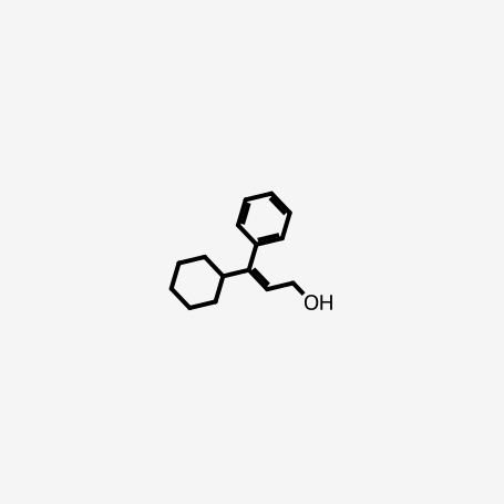 OC/C=C(\c1ccccc1)C1CCCCC1